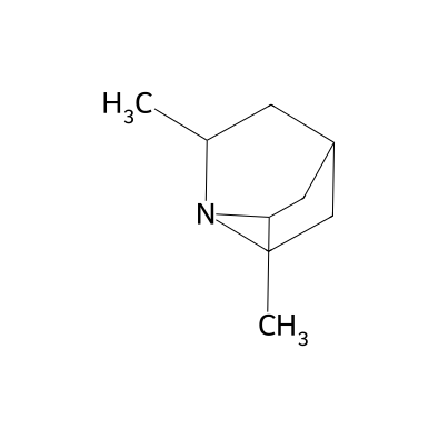 CC1CC2CCN1C(C)C2